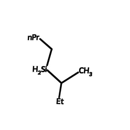 CCCC[SiH2]C(C)CC